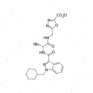 CCOC(=O)c1nnc(CNC(=O)C(NC(=O)c2nn(CC3CCCCC3)c3ccccc23)C(C)(C)C)o1